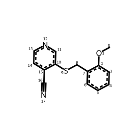 COc1ccccc1CSc1cnccc1C#N